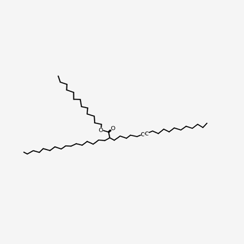 CCCCCCCCCCCCCCCCCCC(CCCCCCCCCCCCCCCC)C(=O)OCCCCCCCCCCCCC